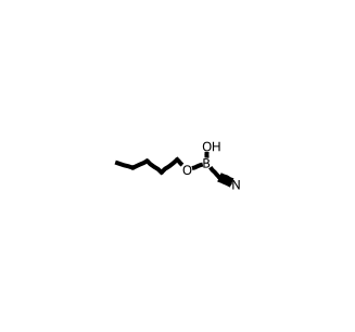 CCCCCOB(O)C#N